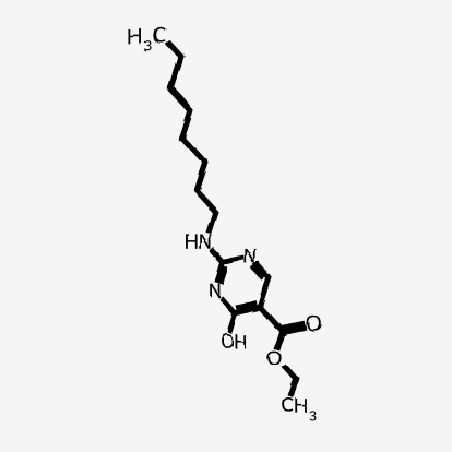 CCCCCCCCNc1ncc(C(=O)OCC)c(O)n1